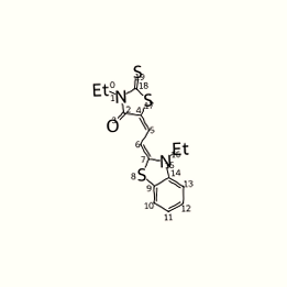 CCN1C(=O)C(=CC=C2Sc3ccccc3N2CC)SC1=S